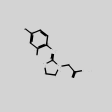 CC(C)(C)C(=O)CN1CCN/C1=N\c1ccc(Cl)cc1Cl